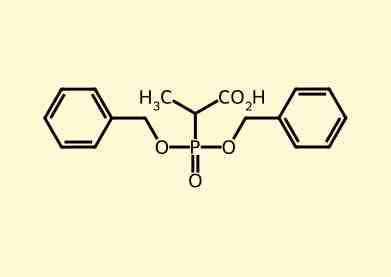 CC(C(=O)O)P(=O)(OCc1ccccc1)OCc1ccccc1